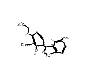 CC(=O)Nc1ccc2onc(-c3ccc(OCC(=O)O)c(Cl)c3Cl)c2c1